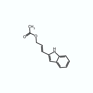 CC(=O)OCC=Cc1cc2ccccc2[nH]1